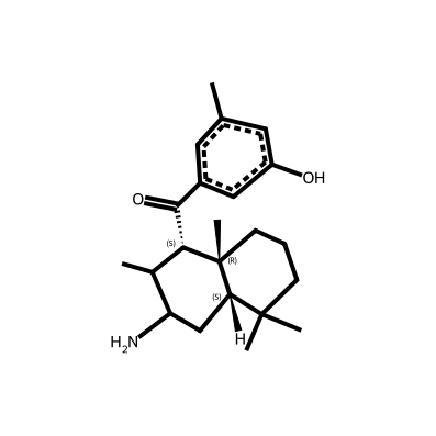 Cc1cc(O)cc(C(=O)[C@H]2C(C)C(N)C[C@H]3C(C)(C)CCC[C@@]23C)c1